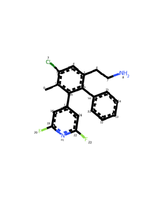 Cc1c(Cl)cc(CCN)c(-c2ccccc2)c1-c1cc(F)nc(F)c1